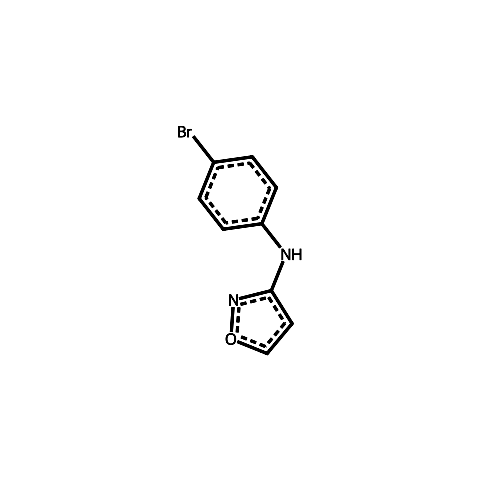 Brc1ccc(Nc2ccon2)cc1